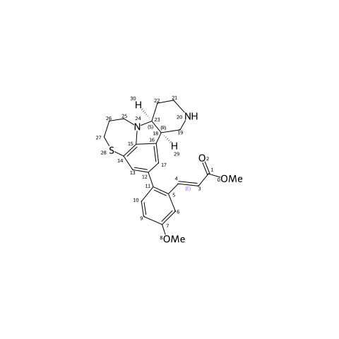 COC(=O)/C=C/c1cc(OC)ccc1-c1cc2c3c(c1)[C@@H]1CNCC[C@@H]1N3CCCS2